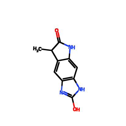 CC1C(=O)Nc2cc3[nH]c(O)nc3cc21